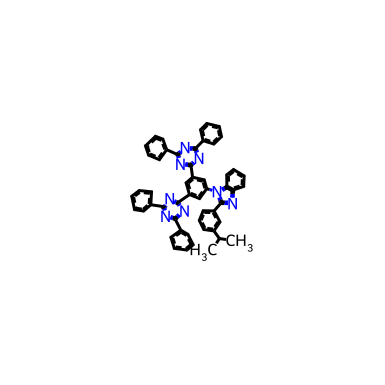 CC(C)c1cccc(-c2nc3ccccc3n2-c2cc(-c3nc(-c4ccccc4)nc(-c4ccccc4)n3)cc(-c3nc(-c4ccccc4)nc(-c4ccccc4)n3)c2)c1